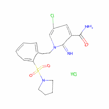 Cl.N=c1c(C(N)=O)cc(Cl)cn1Cc1ccccc1S(=O)(=O)N1CCCC1